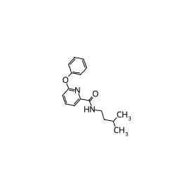 CC(C)CCNC(=O)c1cccc(Oc2ccccc2)n1